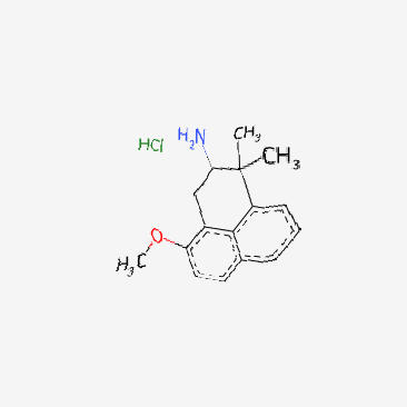 COc1ccc2cccc3c2c1CC(N)C3(C)C.Cl